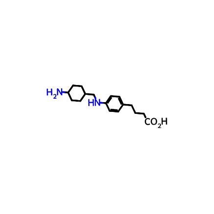 NC1CCC(CNc2ccc(CCCC(=O)O)cc2)CC1